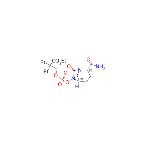 CCOC(=O)C(CC)(CC)COS(=O)(=O)ON1C(=O)N2C[C@H]1CC[C@H]2C(N)=O